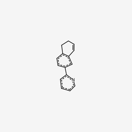 C1=Cc2cc(-c3ccccn3)ccc2CC1